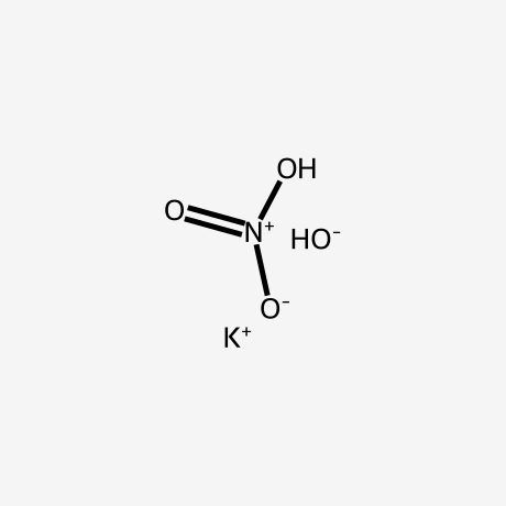 O=[N+]([O-])O.[K+].[OH-]